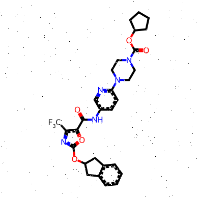 O=C(Nc1ccc(N2CCN(C(=O)OC3CCCC3)CC2)nc1)c1oc(OC2Cc3ccccc3C2)nc1C(F)(F)F